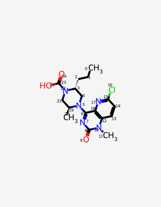 CCC[C@@H]1CN(c2nc(=O)n(C)c3ccc(Cl)nc23)[C@@H](C)CN1C(=O)O